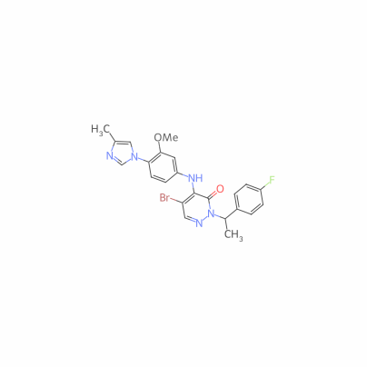 COc1cc(Nc2c(Br)cnn(C(C)c3ccc(F)cc3)c2=O)ccc1-n1cnc(C)c1